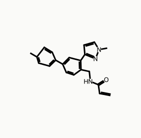 C=CC(=O)NCc1ccc(-c2ccc(C)cc2)cc1-c1ccn(C)n1